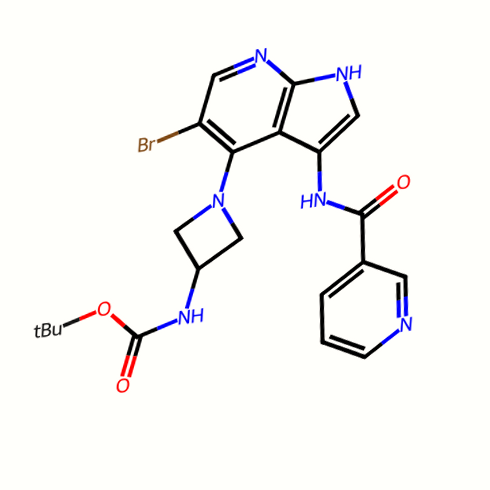 CC(C)(C)OC(=O)NC1CN(c2c(Br)cnc3[nH]cc(NC(=O)c4cccnc4)c23)C1